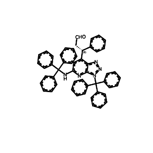 O=CC[C@H](c1ccccc1)c1cc(NC(c2ccccc2)(c2ccccc2)c2ccccc2)nc2c1nnn2C(c1ccccc1)(c1ccccc1)c1ccccc1